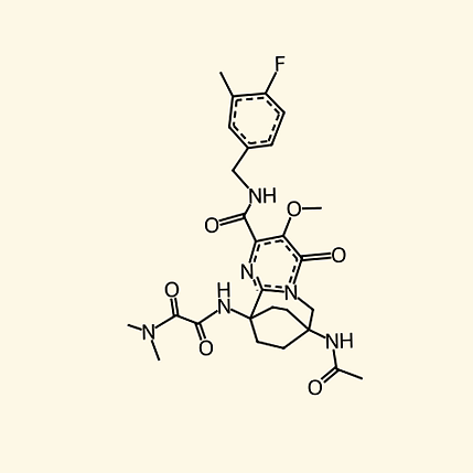 COc1c(C(=O)NCc2ccc(F)c(C)c2)nc2n(c1=O)CC1(NC(C)=O)CCC2(NC(=O)C(=O)N(C)C)CC1